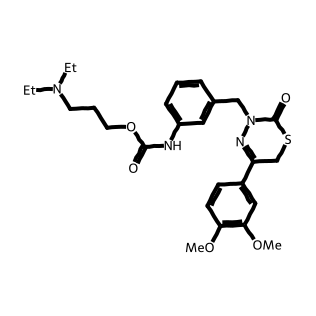 CCN(CC)CCCOC(=O)Nc1cccc(CN2N=C(c3ccc(OC)c(OC)c3)CSC2=O)c1